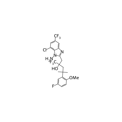 COc1ccc(F)cc1C(C)(C)CC(O)(Cc1nc2cc(C(F)(F)F)cc(Cl)c2n1N)C(F)(F)F